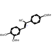 COc1ccc(/C(C#N)=C/c2ccc(OC)c(OC)c2)cc1